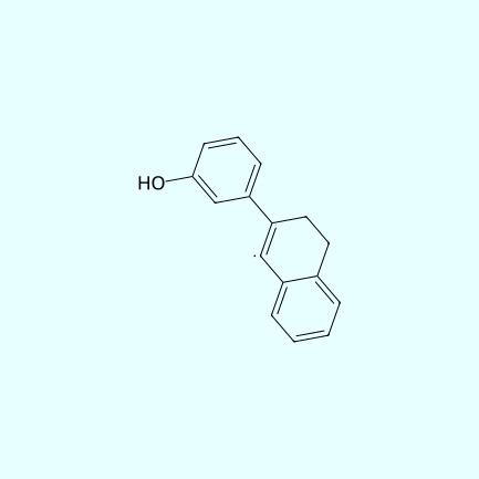 Oc1cccc(C2=[C]c3ccccc3CC2)c1